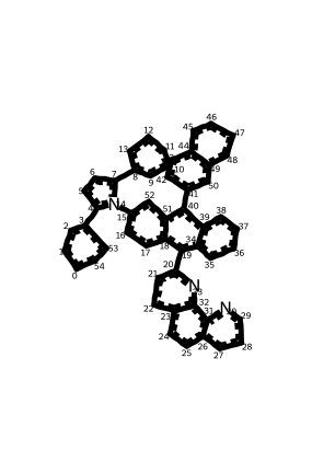 c1ccc(-c2ccc(-c3ccccc3)n2-c2ccc3c(-c4ccc5ccc6cccnc6c5n4)c4ccccc4c(-c4ccc5ccccc5c4)c3c2)cc1